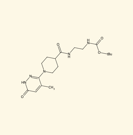 Cc1cc(=O)[nH]nc1N1CCC(C(=O)NCCNC(=O)OC(C)(C)C)CC1